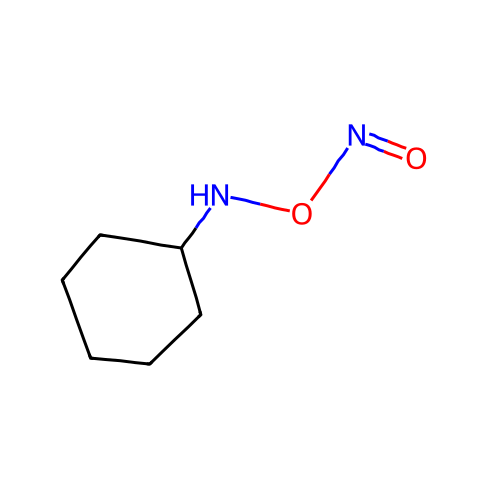 O=NONC1CCCCC1